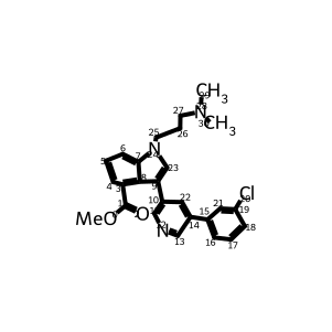 COC(=O)c1cccc2c1c(-c1cncc(-c3cccc(Cl)c3)c1)cn2CCCN(C)C